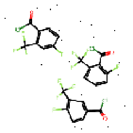 O=C(Cl)c1c(F)cccc1C(F)(F)F.O=C(Cl)c1ccc(F)c(C(F)(F)F)c1.O=C(Cl)c1ccc(F)cc1C(F)(F)F